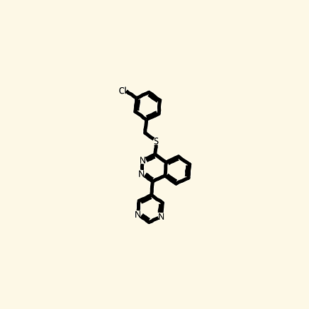 Clc1cccc(CSc2nnc(-c3cncnc3)c3ccccc23)c1